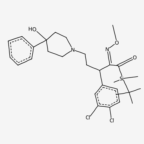 CON=C(C(=O)[Si](C)(C)C(C)(C)C)C(CCN1CCC(O)(c2ccccc2)CC1)c1ccc(Cl)c(Cl)c1